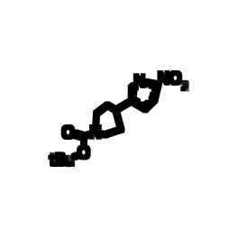 CC(C)(C)OC(=O)N1CCC(c2ccc([N+](=O)[O-])nc2)CC1